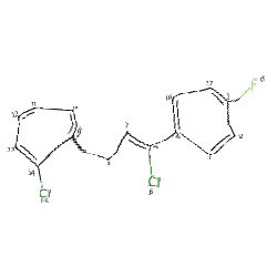 Fc1ccc(C(Cl)=CCc2ccccc2Cl)cc1